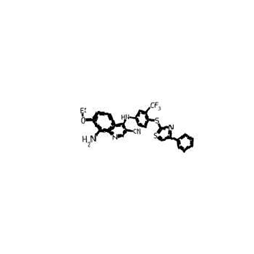 CCOc1ccc2c(Nc3ccc(Sc4nc(-c5ccccc5)cs4)c(C(F)(F)F)c3)c(C#N)cnc2c1N